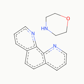 C1COCCN1.c1cnc2c(c1)ccc1cccnc12